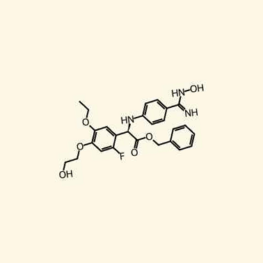 CCOc1cc([C@@H](Nc2ccc(C(=N)NO)cc2)C(=O)OCc2ccccc2)c(F)cc1OCCO